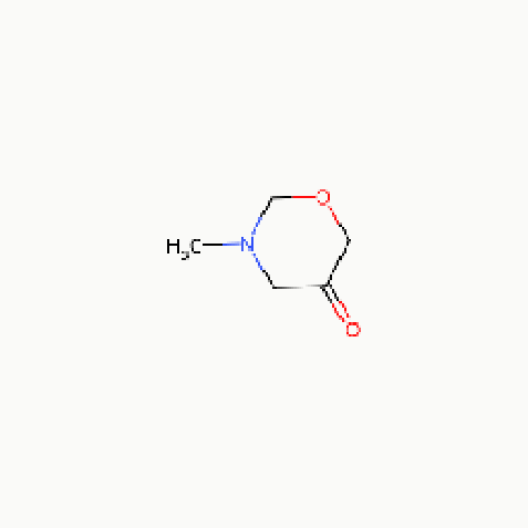 CN1COCC(=O)C1